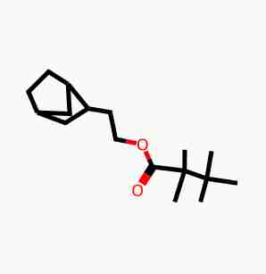 CC(C)(C)C(C)(C)C(=O)OCCC1CC2CCC1C2